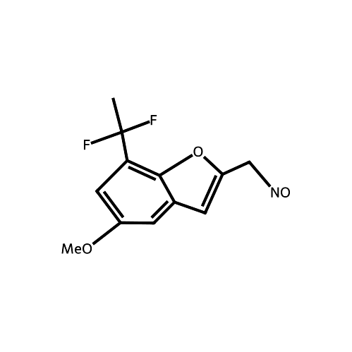 COc1cc(C(C)(F)F)c2oc(CN=O)cc2c1